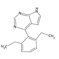 CCc1cccc(CC)c1-c1ncnc2[nH]ccc12